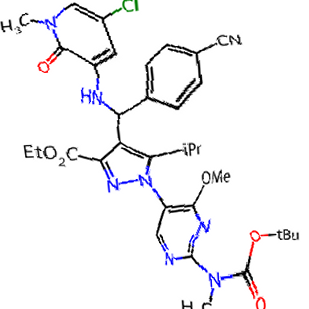 CCOC(=O)c1nn(-c2cnc(N(C)C(=O)OC(C)(C)C)nc2OC)c(C(C)C)c1C(Nc1cc(Cl)cn(C)c1=O)c1ccc(C#N)cc1